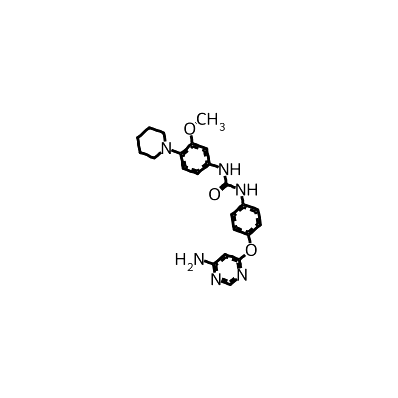 COc1cc(NC(=O)Nc2ccc(Oc3cc(N)ncn3)cc2)ccc1N1CCCCC1